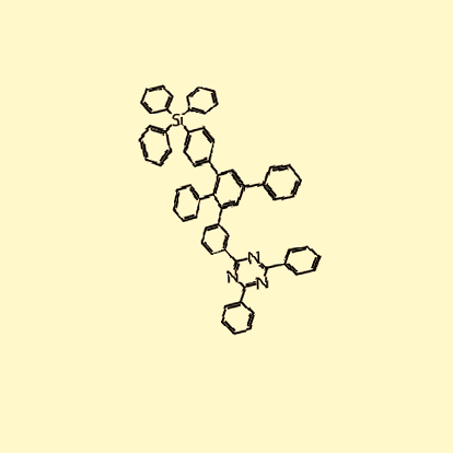 c1ccc(-c2cc(-c3ccc([Si](c4ccccc4)(c4ccccc4)c4ccccc4)cc3)c(-c3ccccc3)c(-c3cccc(-c4nc(-c5ccccc5)nc(-c5ccccc5)n4)c3)c2)cc1